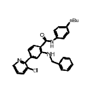 CCCCc1ccc(NC(=O)c2ccc(-c3ncccc3Cl)cc2NCc2ccccc2)cc1